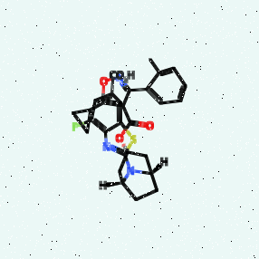 Cc1ccccc1-c1noc(C2CC2)c1C(=O)O[C@H]1C[C@H]2CC[C@@H](C1)N2c1nc2c(F)cc(C(=O)O)cc2s1